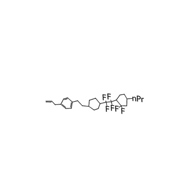 C=CCc1ccc(CCC2CCC(C(F)(F)C(F)(F)C3CCC(CCC)CC3(F)F)CC2)cc1